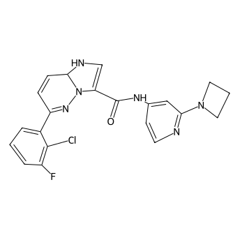 O=C(Nc1ccnc(N2CCC2)c1)C1=CNC2C=CC(c3cccc(F)c3Cl)=NN12